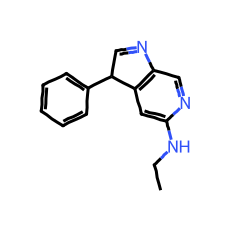 CCNc1cc2c(cn1)N=CC2c1ccccc1